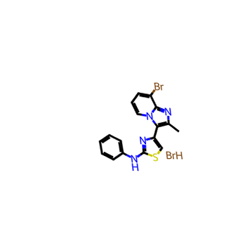 Br.Cc1nc2c(Br)cccn2c1-c1csc(Nc2ccccc2)n1